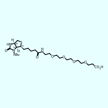 CCCCN1C(=O)N[C@H]2CS[C@@H](CCCCC(=O)NCCOCCOCCOCCOCCC(=O)O)[C@H]21